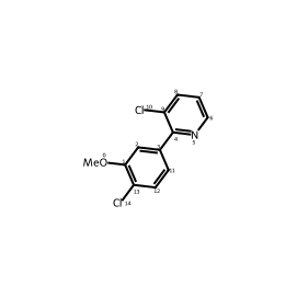 COc1cc(-c2ncccc2Cl)ccc1Cl